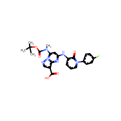 CN(C(=O)OC(C)(C)C)c1cc(Nc2cccn(-c3ccc(F)cc3)c2=O)nc2c(C(=O)O)cnn12